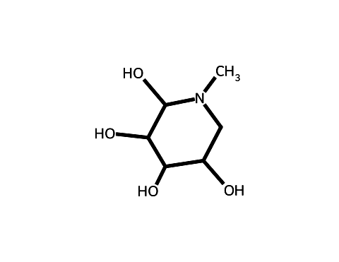 CN1CC(O)C(O)C(O)C1O